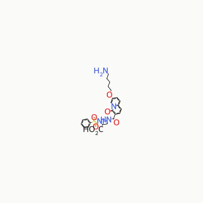 NCCCCCOc1ccc2ccc(C(=O)NCC(NS(=O)(=O)c3ccccc3)C(=O)O)c(=O)n2c1